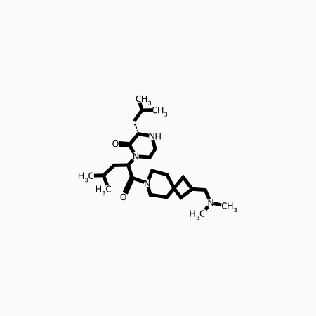 CC(C)CC(C(=O)N1CCC2(CC1)CC(CN(C)C)C2)N1CCN[C@@H](CC(C)C)C1=O